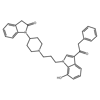 O=C(Cc1ccccc1)c1cn(CCCN2CCC(N3C(=O)Cc4ccccc43)CC2)c2c(O)cccc12